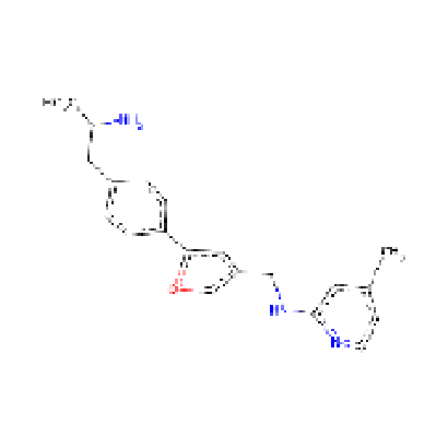 Cc1ccnc(NCc2coc(-c3ccc(CC(N)C(=O)O)cc3)c2)c1